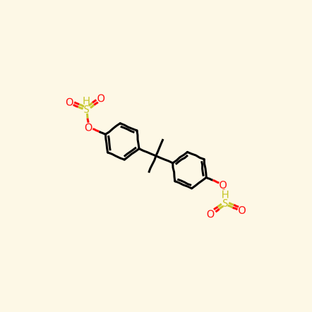 CC(C)(c1ccc(O[SH](=O)=O)cc1)c1ccc(O[SH](=O)=O)cc1